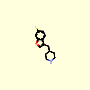 Fc1ccc2c(CC3CCNCC3)coc2c1